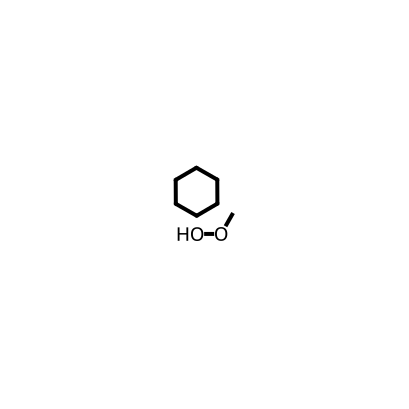 C1CCCCC1.COO